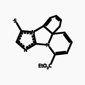 CCOC(=O)C1=CC=CC23CC=CC=C2n2c([S])cnc2N13